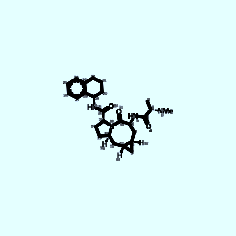 CN[C@@H](C)C(=O)N[C@H]1C[C@@H]2C[C@@H]2C[C@H]2CC[C@@H](C(=O)N[C@@H]3CCCc4ccccc43)N2C1=O